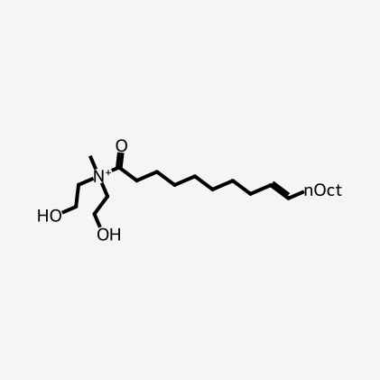 CCCCCCCC/C=C/CCCCCCCC(=O)[N+](C)(CCO)CCO